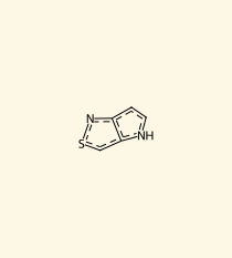 c1cc2nscc2[nH]1